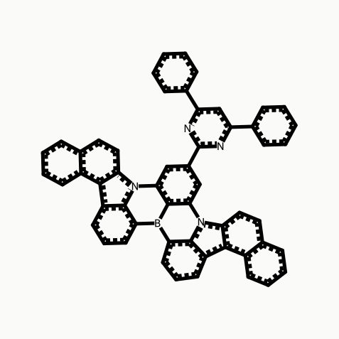 c1ccc(-c2cc(-c3ccccc3)nc(-c3cc4c5c(c3)-n3c6ccc7ccccc7c6c6cccc(c63)B5c3cccc5c6c7ccccc7ccc6n-4c35)n2)cc1